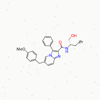 COc1ccc(Cc2ccc3nc(C(=O)N[C@H](CO)CC(C)C)c(-c4ccccc4)n3c2)cc1